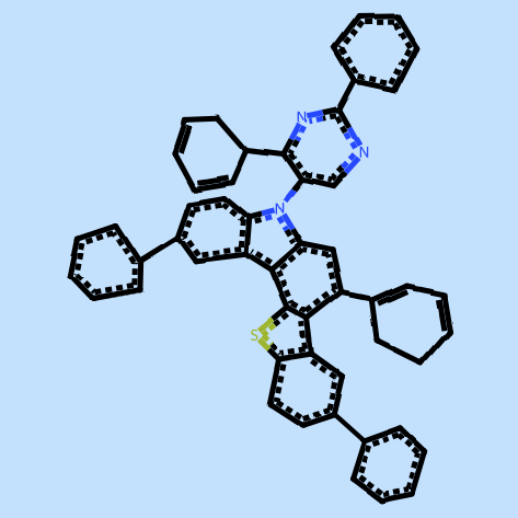 C1=CCCC(c2cc3c(c4cc(-c5ccccc5)ccc4n3-c3cnc(-c4ccccc4)nc3C3C=CC=CC3)c3sc4ccc(-c5ccccc5)cc4c23)=C1